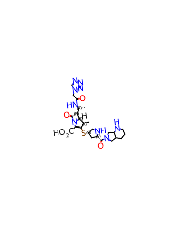 C[C@@H](NC(=O)Cn1cnnn1)[C@H]1C(=O)N2C(C(=O)O)=C(S[C@@H]3CN[C@H](C(=O)N4CC5CCCNC5C4)C3)[C@H](C)[C@H]12